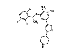 C[C@@H](Oc1cc(-c2cnn(C3CCNCC3)c2)cnc1N)c1c(Cl)ccc(F)c1Cl.Cl